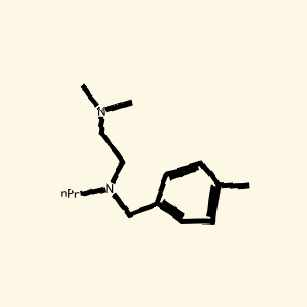 CCCN(CCN(C)C)Cc1ccc(C)cc1